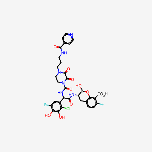 O=C(NCCCN1CCN(C(=O)NC(C(=O)N[C@H]2Cc3ccc(F)c(C(=O)O)c3OB2O)c2cc(F)c(O)c(O)c2Cl)C(=O)C1=O)c1ccncc1